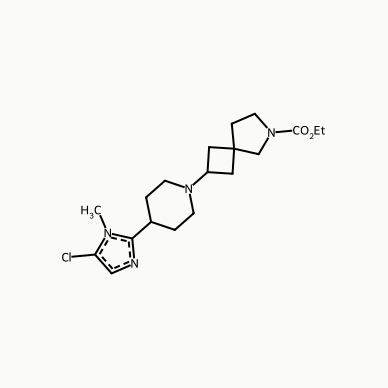 CCOC(=O)N1CCC2(CC(N3CCC(c4ncc(Cl)n4C)CC3)C2)C1